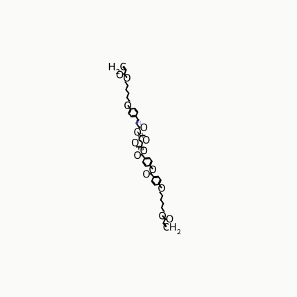 C=CC(=O)OCCCCCCOc1ccc(/C=C/C(=O)O[C@H]2COC3C2OC[C@H]3OC(=O)c2ccc(OC(=O)c3ccc(OCCCCCCOC(=O)C=C)cc3)cc2)cc1